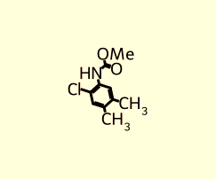 COC(=O)Nc1cc(C)c(C)cc1Cl